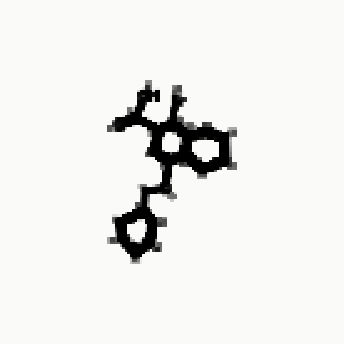 O=C(O)c1cc(OCc2ccccc2)c2ccccc2c1Br